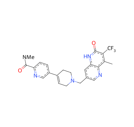 CNC(=O)c1ccc(C2=CCN(Cc3cnc4c(C)c(C(F)(F)F)c(=O)[nH]c4c3)CC2)cn1